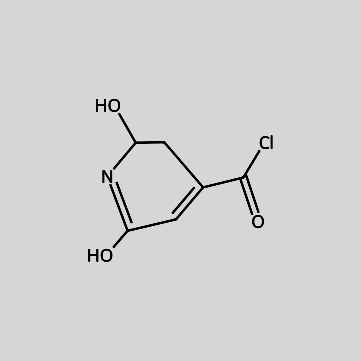 O=C(Cl)C1=CC(O)=NC(O)C1